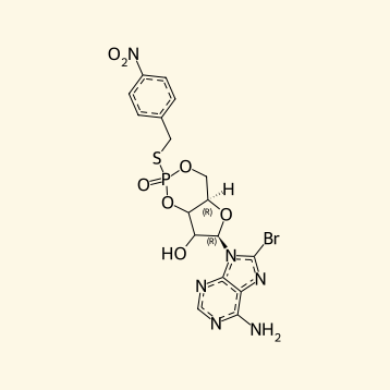 Nc1ncnc2c1nc(Br)n2[C@@H]1O[C@@H]2COP(=O)(SCc3ccc([N+](=O)[O-])cc3)OC2C1O